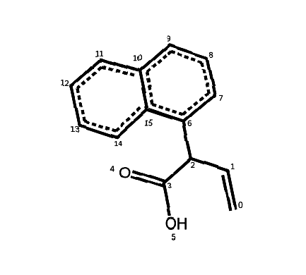 C=CC(C(=O)O)c1cccc2ccccc12